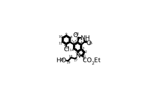 CCOC(=O)c1cc2c3c(c(-c4ccccc4Cl)cc2n1CCCO)C(=O)NC3=O